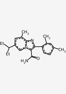 CCC(CC)c1cc(C)c2nc(-c3ccc(C)cc3C)c(C(N)=O)n2c1